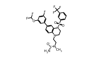 CN(CCN1CCN(S(=O)(=O)c2cccc(C(F)(F)F)c2)c2cc(-c3cc(F)cc(OC(F)F)c3)ccc21)[S+](N)[O-]